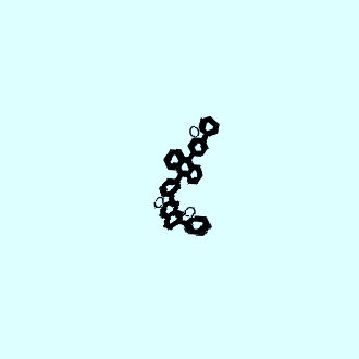 c1ccc2c(c1)oc1cc(-c3c4ccccc4c(-c4ccc5oc6cc7ccc8c9ccccc9oc8c7cc6c5c4)c4ccccc34)ccc12